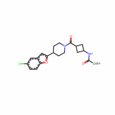 COC(=O)NC1CC(C(=O)N2CCC(c3cc4cc(Cl)ccc4o3)CC2)C1